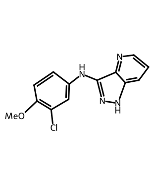 COc1ccc(Nc2n[nH]c3cccnc23)cc1Cl